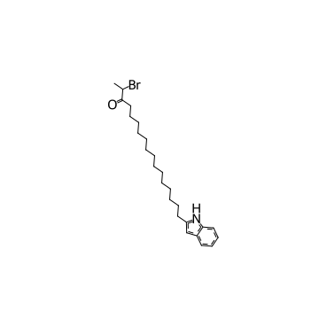 CC(Br)C(=O)CCCCCCCCCCCCCCc1cc2ccccc2[nH]1